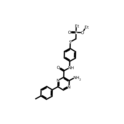 CCOP(=O)(CC)CSc1ccc(NC(=O)c2nc(-c3ccc(C)cc3)cnc2N)cc1